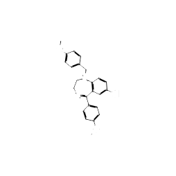 COc1ccc(CN2CCN=C(c3ccc(OC)cc3)c3cc(Cl)ccc32)cc1